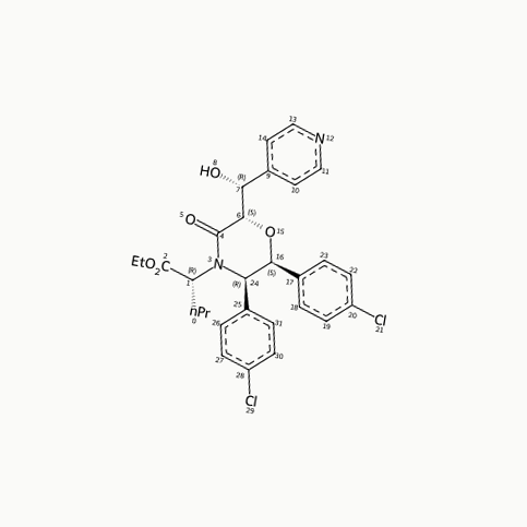 CCC[C@H](C(=O)OCC)N1C(=O)[C@H]([C@H](O)c2ccncc2)O[C@@H](c2ccc(Cl)cc2)[C@H]1c1ccc(Cl)cc1